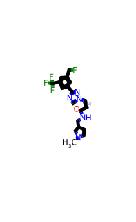 CN1CCC(CNC(=O)/C=C\n2cnc(-c3cc(CF)cc(C(F)(F)F)c3)n2)C1